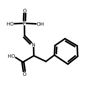 O=C(O)C(Cc1ccccc1)N=CP(=O)(O)O